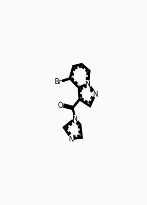 O=C(c1cnn2cccc(Br)c12)n1ccnc1